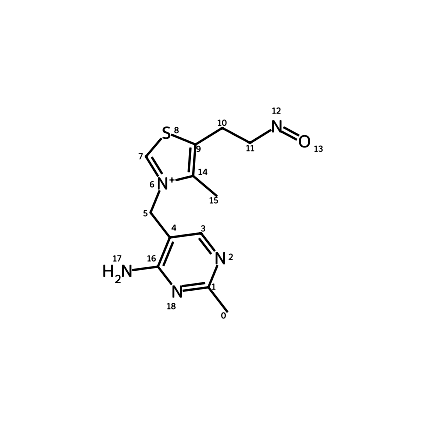 Cc1ncc(C[n+]2csc(CCN=O)c2C)c(N)n1